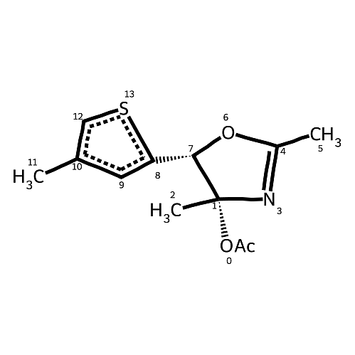 CC(=O)O[C@@]1(C)N=C(C)O[C@H]1c1cc(C)cs1